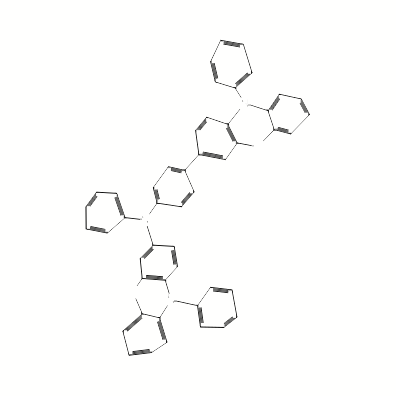 c1ccc(N(c2ccc(-c3ccc4c(c3)Oc3ccccc3N4c3ccccc3)cc2)c2ccc3c(c2)Sc2ccccc2N3c2ccccc2)cc1